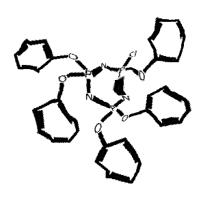 ClP1(Oc2ccccc2)=NP(Oc2ccccc2)(Oc2ccccc2)=NP(Oc2ccccc2)(Oc2ccccc2)=N1